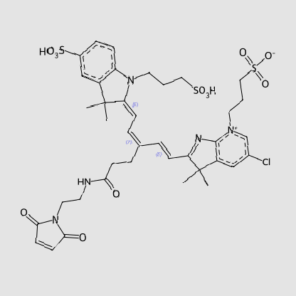 CC1(C)C(/C=C/C(=C\C=C2\N(CCCS(=O)(=O)O)c3ccc(S(=O)(=O)O)cc3C2(C)C)CCC(=O)NCCN2C(=O)C=CC2=O)=Nc2c1cc(Cl)c[n+]2CCCS(=O)(=O)[O-]